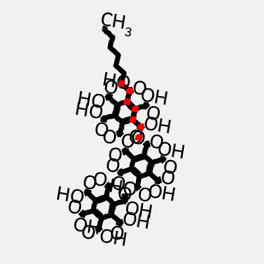 CCCCCCCCCCCCCOC(=O)c1c(C(=O)O)c(C(=O)O)c(C(=O)O)c(C(=O)OC(=O)c2c(C(=O)O)c(C(=O)O)c(C(=O)O)c(C(=O)O)c2C(=O)O)c1C(=O)OC(=O)c1c(C(=O)O)c(C(=O)O)c(C(=O)O)c(C(=O)O)c1C(=O)O